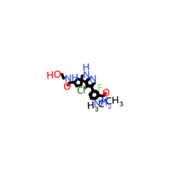 CN(C)C(=O)c1c(N)ccc(-c2cnc3c(c2Cl)C2(CCC(C(=O)NCCO)C2)CN3)c1F